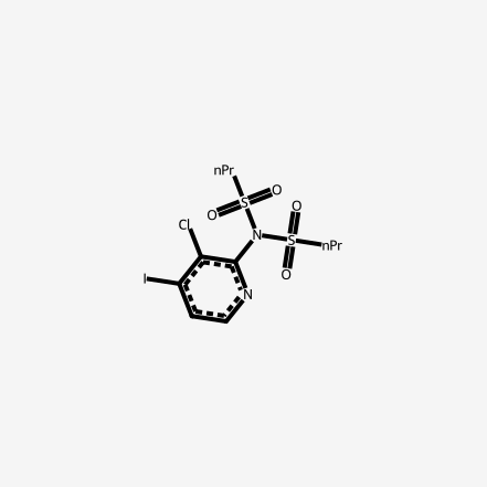 CCCS(=O)(=O)N(c1nccc(I)c1Cl)S(=O)(=O)CCC